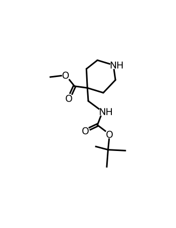 COC(=O)C1(CNC(=O)OC(C)(C)C)CCNCC1